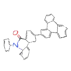 O=c1c2ccc(-c3ccc4c5ccccc5c5ccccc5c4c3)cc2c2ccccc2n1-c1ccccc1